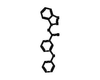 O=C(On1nnc2ccccc21)c1cccc(Oc2ccccc2)c1